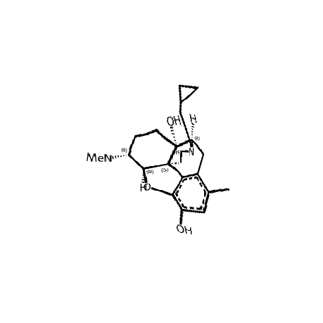 CN[C@@H]1CC[C@@]2(O)[C@H]3Cc4c(C)cc(O)c5c4[C@@]2(CCN3C2CC2)[C@H]1O5